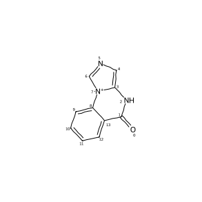 O=C1NC2=CN=C[N+]2c2ccccc21